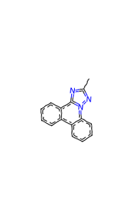 Cc1nc2c3ccccc3c3ccccc3n2n1